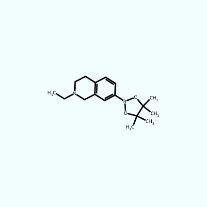 CCN1CCc2ccc(B3OC(C)(C)C(C)(C)O3)cc2C1